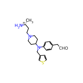 C[C@@H](N)CCN1CCC(N(Cc2ccsc2)c2ccc(CC=O)cc2)CC1